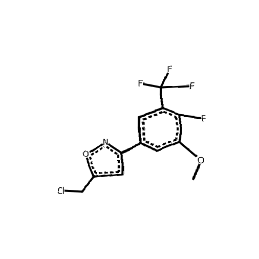 COc1cc(-c2cc(CCl)on2)cc(C(F)(F)F)c1F